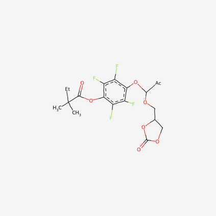 CCC(C)(C)C(=O)Oc1c(F)c(F)c(OC(OCC2COC(=O)O2)C(C)=O)c(F)c1F